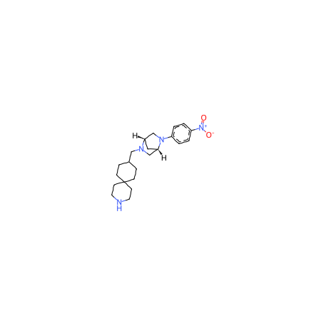 O=[N+]([O-])c1ccc(N2C[C@@H]3C[C@H]2CN3CC2CCC3(CCNCC3)CC2)cc1